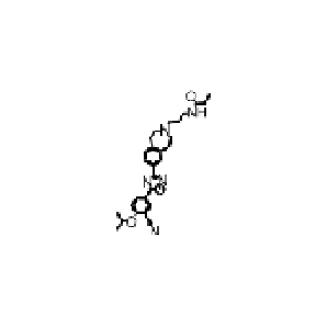 CCC(=O)NCCCN1CCc2ccc(-c3noc(-c4ccc(OC(C)C)c(C#N)c4)n3)cc2CC1